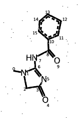 CN1CC(=O)N=C1NC(=O)c1ccccc1